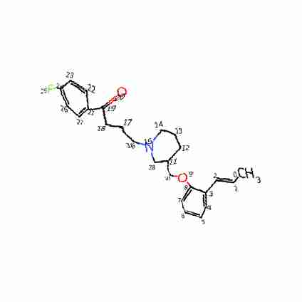 C/C=C/c1ccccc1OCC1CCCN(CCCC(=O)c2ccc(F)cc2)C1